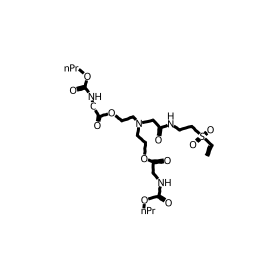 C=CS(=O)(=O)CCNC(=O)CN(CCOC(=O)CNC(=O)OCCC)CCOC(=O)CNC(=O)OCCC